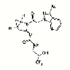 CC(=O)c1nn(CC(=O)N2[C@@H](OC(=O)NCC(O)C(F)(F)F)C[C@H]3C[C@H]32)c2ncccc12